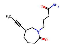 NC(=O)CCCN1CC(C#CC(F)(F)F)CCCC1=O